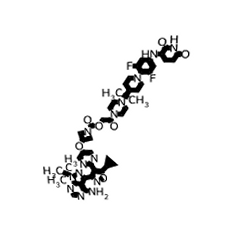 CC(C)(C1CCN(c2c(F)cc(NC3CCC(=O)NC3=O)cc2F)CC1)N1CCN(C(=O)COC(=O)N2CC(Oc3cnc(-c4c(-c5nn(C(C)(C)C)c6ncnc(N)c56)noc4C4CC4)nc3)C2)CC1